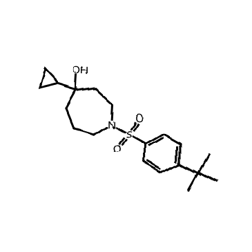 CC(C)(C)c1ccc(S(=O)(=O)N2CCCC(O)(C3CC3)CC2)cc1